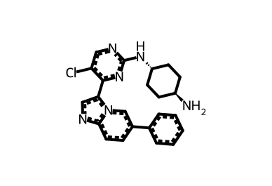 N[C@H]1CC[C@H](Nc2ncc(Cl)c(-c3cnc4ccc(-c5ccccc5)cn34)n2)CC1